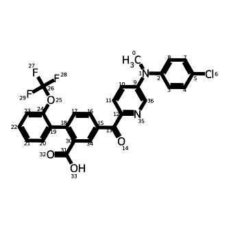 CN(c1ccc(Cl)cc1)c1ccc(C(=O)c2ccc(-c3ccccc3OC(F)(F)F)c(C(=O)O)c2)nc1